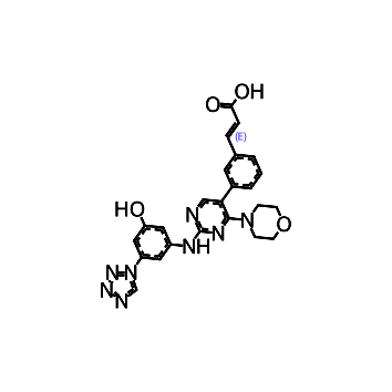 O=C(O)/C=C/c1cccc(-c2cnc(Nc3cc(O)cc(-n4cnnn4)c3)nc2N2CCOCC2)c1